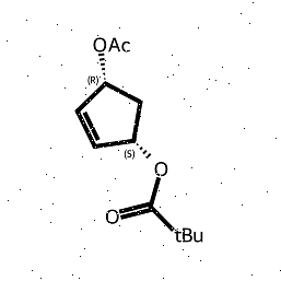 CC(=O)O[C@H]1C=C[C@@H](OC(=O)C(C)(C)C)C1